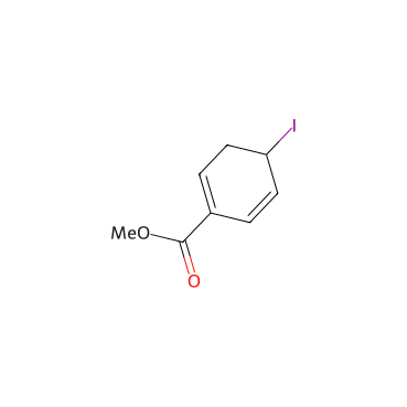 COC(=O)C1=CCC(I)C=C1